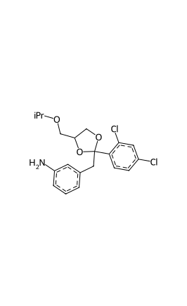 CC(C)OCC1COC(Cc2cccc(N)c2)(c2ccc(Cl)cc2Cl)O1